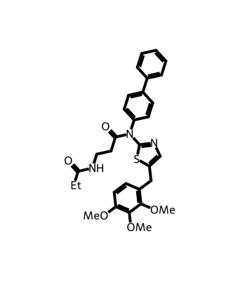 CCC(=O)NCCC(=O)N(c1ccc(-c2ccccc2)cc1)c1ncc(Cc2ccc(OC)c(OC)c2OC)s1